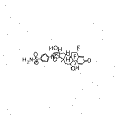 C[C@]12C=CC(=O)C=C1[C@@H](F)C[C@H]1[C@@H]3C[C@H]4CN(c5ccc(S(N)(=O)=O)cc5)O[C@@]4(C(=O)CO)[C@@]3(C)C[C@H](O)[C@@]12F